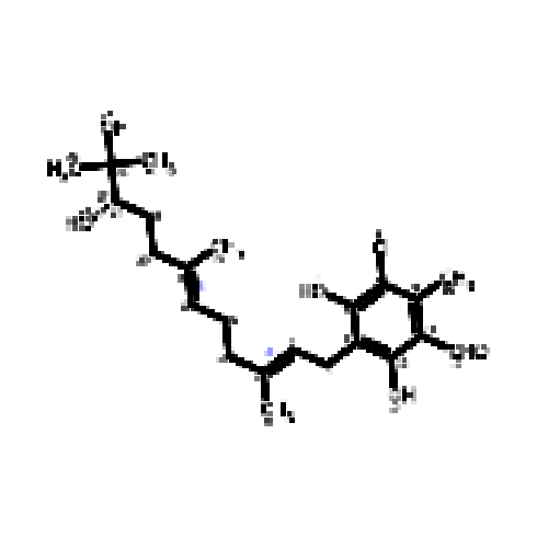 C/C(=C\Cc1c(O)c(Cl)c(C)c(C=O)c1O)CC/C=C(\C)CC[C@H](O)C(C)(C)O